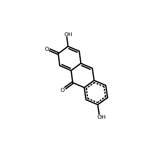 O=C1C=C2C(=O)c3cc(O)ccc3C=C2C=C1O